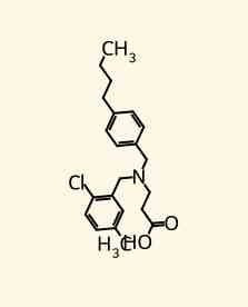 CCCCc1ccc(CN(CCC(=O)O)Cc2cc(C)ccc2Cl)cc1